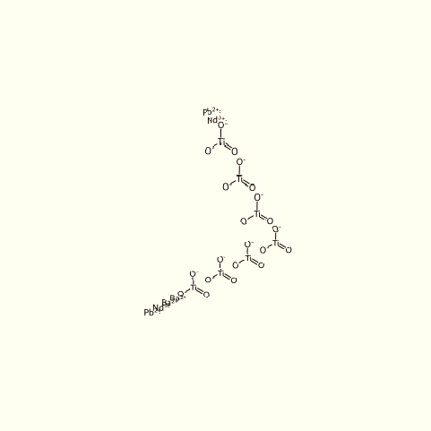 [Ba+2].[Ba+2].[Nd+3].[Nd+3].[O]=[Ti]([O-])[O-].[O]=[Ti]([O-])[O-].[O]=[Ti]([O-])[O-].[O]=[Ti]([O-])[O-].[O]=[Ti]([O-])[O-].[O]=[Ti]([O-])[O-].[O]=[Ti]([O-])[O-].[Pb+2].[Pb+2]